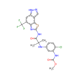 COC(=O)Nc1cc(NC(C)(C)C(=O)Nc2nc3c(C(F)(F)F)cc4[nH]ncc4c3s2)ccc1Cl